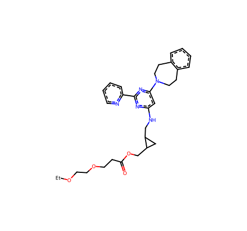 CCOCCOCCC(=O)OCC1CC1CNc1cc(N2CCc3ccccc3CC2)nc(-c2ccccn2)n1